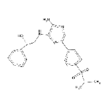 CC(C)S(=O)(=O)c1ccc(-c2cnc(N)c(NC[C@@H](O)c3ccccc3)n2)cc1